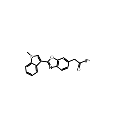 CC(C)C(=O)Cc1ccc2nc(-c3cn(C)c4ccccc34)oc2c1